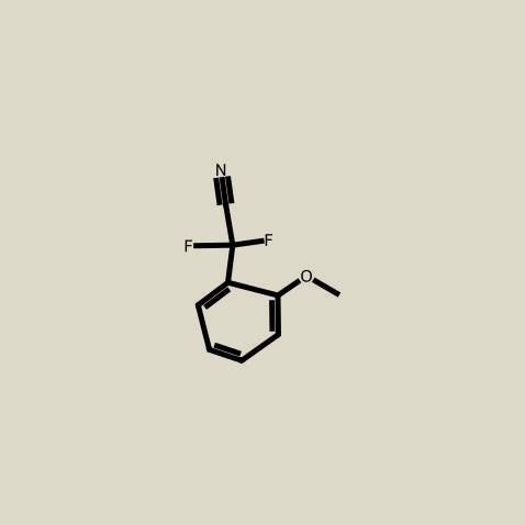 COc1ccccc1C(F)(F)C#N